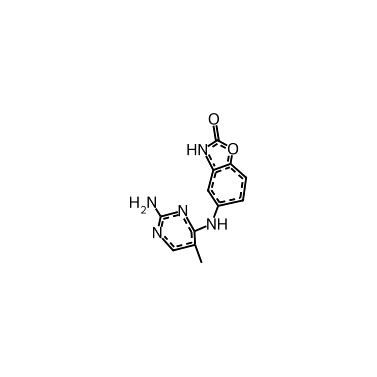 Cc1cnc(N)nc1Nc1ccc2oc(=O)[nH]c2c1